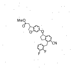 COC(=O)CC1COc2cc(O[C@@H]3CCc4c3ccc(C#N)c4Cc3cccc(F)c3F)ccc21